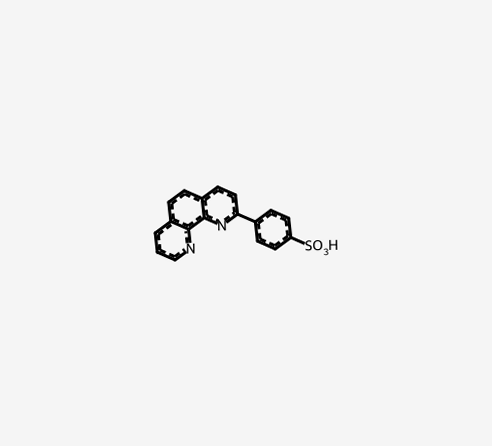 O=S(=O)(O)c1ccc(-c2ccc3ccc4cccnc4c3n2)cc1